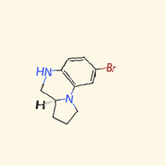 Brc1ccc2c(c1)N1CCC[C@H]1CN2